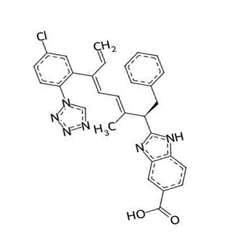 C=C/C(=C\C=C(/C)[C@@H](Cc1ccccc1)c1nc2cc(C(=O)O)ccc2[nH]1)c1cc(Cl)ccc1-n1cnnn1